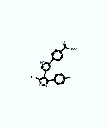 COC(=O)c1ccc(-c2nc(-c3c(-c4ccc(F)cc4)noc3C)c[nH]2)cc1